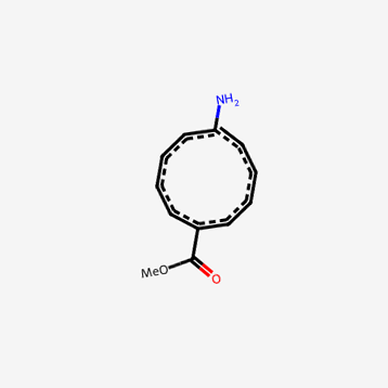 COC(=O)c1ccccc(N)cccc1